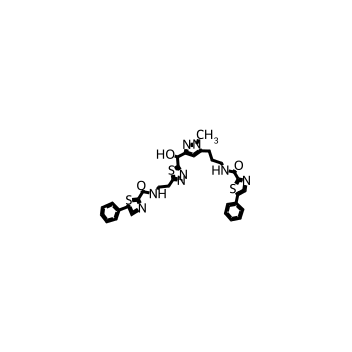 Cn1nc(C(O)c2nnc(CCNC(=O)c3ncc(-c4ccccc4)s3)s2)cc1CCCNC(=O)c1ncc(-c2ccccc2)s1